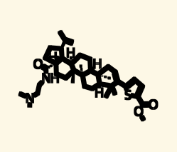 C=C(C)[C@@H]1CC[C@]2(C(=O)NCCN(C)C)CC[C@]3(C)[C@H](CC[C@@H]4[C@@]5(C)CC=C(c6ccc(C(=O)OC)s6)C(C)(C)[C@@H]5CC[C@]43C)[C@@H]12